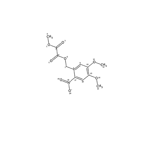 COC(=O)C(=O)OCc1cc(OC)c(OC)cc1[N+](=O)[O-]